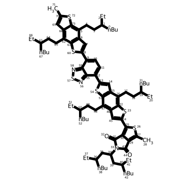 CCCCC(CC)CCc1c2cc(-c3ccc(-c4cc5c(CCC(CC)CCCC)c6sc(-c7sc(C)c8c7C(=O)N(C(CC(CC)CCCC)CC(CC)CCCC)C8=O)cc6c(CCC(CC)CCCC)c5s4)c4nsnc34)sc2c(CCC(CC)CCCC)c2cc(C)sc12